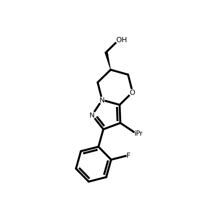 CC(C)c1c(-c2ccccc2F)nn2c1OC[C@H](CO)C2